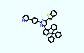 c1ccc(C2(c3ccccc3)c3ccccc3-c3c(-c4cc(-c5cc6ccccc6s5)nc(-c5ccc(-c6cccnc6)cc5)n4)cccc32)cc1